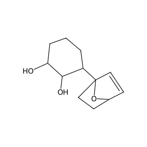 OC1CCCC(C23C=CC(CC2)O3)C1O